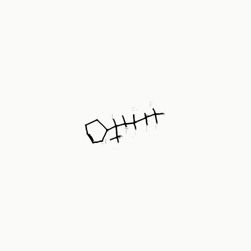 FC(F)(F)C(F)(F)C(F)(F)C(F)(F)C(I)(C1CC=CCC1)C(F)(F)F